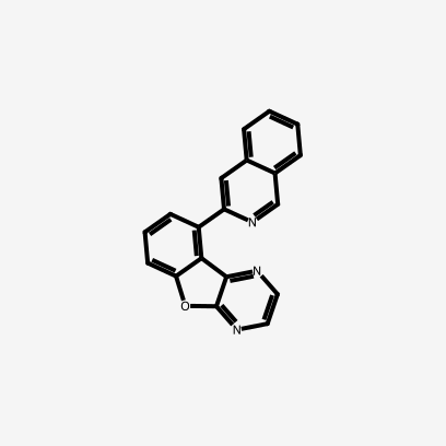 c1ccc2cc(-c3cccc4oc5nccnc5c34)ncc2c1